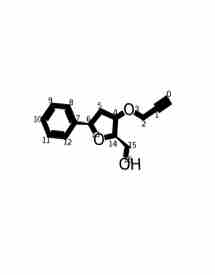 C#CCOC1C[C@H](c2ccccc2)O[C@@H]1CO